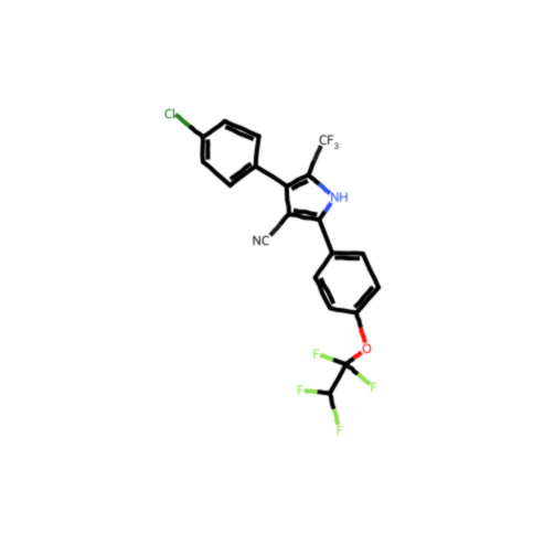 N#Cc1c(-c2ccc(OC(F)(F)C(F)F)cc2)[nH]c(C(F)(F)F)c1-c1ccc(Cl)cc1